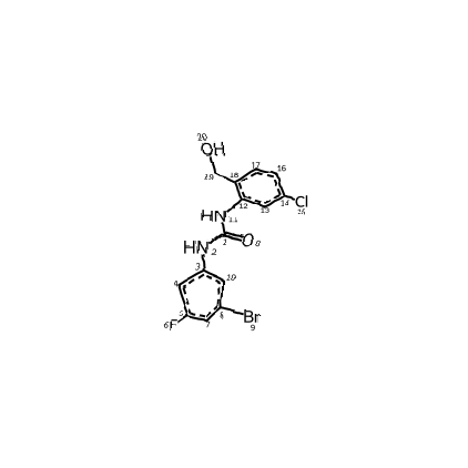 O=C(Nc1cc(F)cc(Br)c1)Nc1cc(Cl)ccc1CO